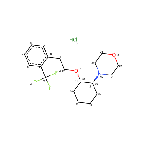 Cl.FC(F)(F)c1ccccc1CCO[C@H]1CCCC[C@@H]1N1CCOCC1